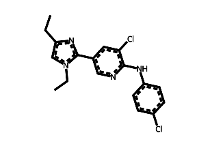 CCc1cn(CC)c(-c2cnc(Nc3ccc(Cl)cc3)c(Cl)c2)n1